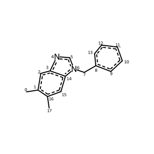 Cc1cc2ncn(Cc3cc[c]cc3)c2cc1C